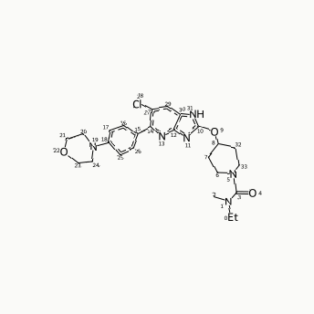 CCN(C)C(=O)N1CCC(Oc2nc3nc(-c4ccc(N5CCOCC5)cc4)c(Cl)cc3[nH]2)CC1